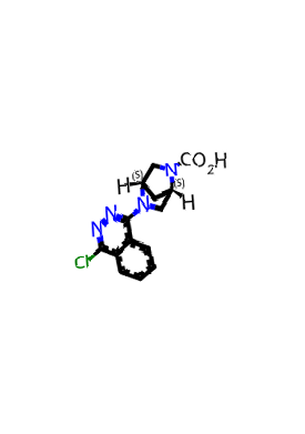 O=C(O)N1C[C@@H]2C[C@H]1CN2c1nnc(Cl)c2ccccc12